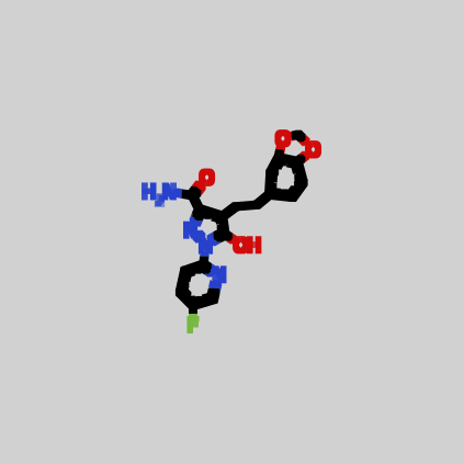 NC(=O)c1nn(-c2ccc(F)cn2)c(O)c1CCc1ccc2c(c1)OCO2